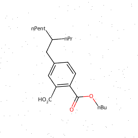 CCCCCC(CCC)Cc1ccc(C(=O)OCCCC)c(C(=O)O)c1